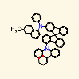 CC1C=Cc2c(cccc2N(c2ccccc2)c2ccc3c(c2)C2(c4ccccc4-3)c3ccccc3-c3c(N(c4ccccc4)c4ccccc4C4=CCCCC4)cccc32)C1